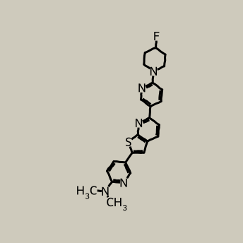 CN(C)c1ccc(-c2cc3ccc(-c4ccc(N5CCC(F)CC5)nc4)nc3s2)cn1